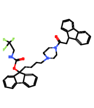 O=C(NCC(F)(F)F)OC1(CCCCN2CCN(C(=O)CC3c4ccccc4-c4ccccc43)CC2)c2ccccc2-c2ccccc21